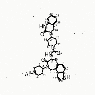 CC(=O)N1CCC(N2Cc3c(ccc4[nH]ncc34)C[C@@H](NC(=O)N3CCC(N4Cc5ccccc5NC4=O)CC3)C2=O)CC1